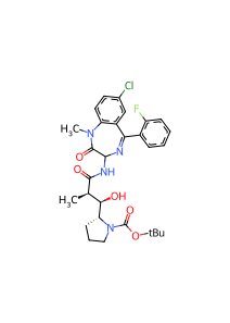 C[C@@H](C(=O)NC1N=C(c2ccccc2F)c2cc(Cl)ccc2N(C)C1=O)[C@@H](O)[C@H]1CCCN1C(=O)OC(C)(C)C